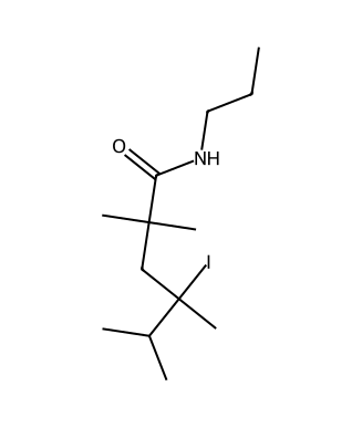 CCCNC(=O)C(C)(C)CC(C)(I)C(C)C